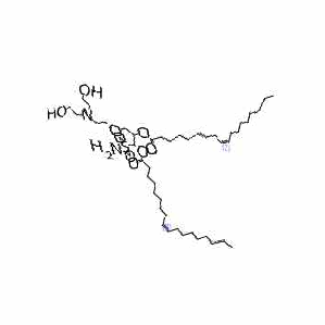 CCCCCCCC/C=C\CCCCCCCC(=O)OC(COCCN(CCO)CCO)C(OC(=O)CCCCCCC/C=C\CCCCCCCC)S(N)(=O)=O